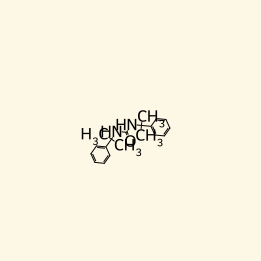 CC(C)(NC(=O)NC(C)(C)c1ccccc1)c1ccccc1